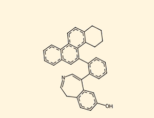 Oc1ccc2c(c1)C(c1ccccc1-c1cc3ccccc3c3ccc4c(c13)CCCC4)=CN=CC2